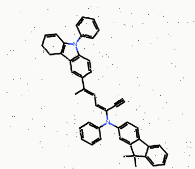 C#C/C(=C\C=C(/C)c1ccc2c(c1)c1c(n2-c2ccccc2)C=CCC1)N(c1ccccc1)c1ccc2c(c1)C(C)(C)c1ccccc1-2